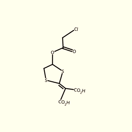 O=C(CCl)OC1CSC(=C(C(=O)O)C(=O)O)S1